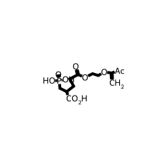 C=C(OCCOC(=O)CCC(CP(=O)(O)O)C(=O)O)C(C)=O